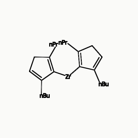 CCCCC1=CCC(CCC)=[C]1[Zr][C]1=C(CCC)CC=C1CCCC